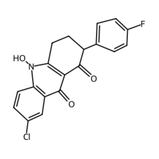 O=C1c2c(n(O)c3ccc(Cl)cc3c2=O)CCC1c1ccc(F)cc1